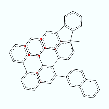 CC1(C)c2ccccc2-c2ccc(N(c3ccccc3-c3ccccc3)c3cccc(-c4ccc5ccccc5c4)c3-c3ccccc3-c3ccccc3)cc21